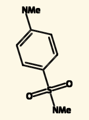 CNc1ccc(S(=O)(=O)NC)cc1